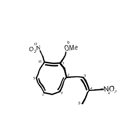 COc1c(/C=C(\C)[N+](=O)[O-])cccc1[N+](=O)[O-]